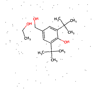 CC(C)(C)c1cc(CO)cc(C(C)(C)C)c1O.CCO